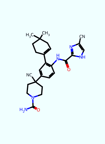 CC1(C)CC=C(c2cc(C3(C#N)CCN(C(N)=O)CC3)ccc2NC(=O)c2nc(C#N)c[nH]2)CC1